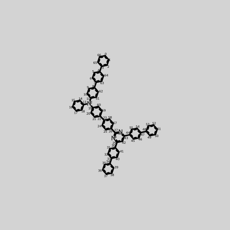 c1ccc(-c2ccc(-c3ccc(N(c4ccccc4)c4ccc(-c5ccc(-c6nc(-c7ccc(-c8ccccc8)cc7)cc(-c7ccc(-c8ccccc8)cc7)n6)cc5)cc4)cc3)cc2)cc1